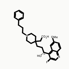 COc1ccc2ncc(F)c([C@H](O)CCC3(CC(=O)O)CCN(CCCc4ccccc4)CC3)c2c1